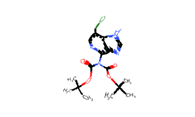 CC(C)(C)OC(=O)N(C(=O)OC(C)(C)C)c1ncc(Cl)c2[nH]cnc12